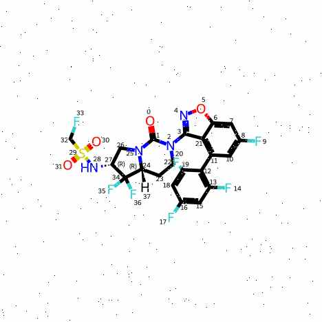 O=C1N(c2noc3cc(F)cc(-c4c(F)cc(F)cc4F)c23)CC[C@H]2N1C[C@@H](NS(=O)(=O)CF)C2(F)F